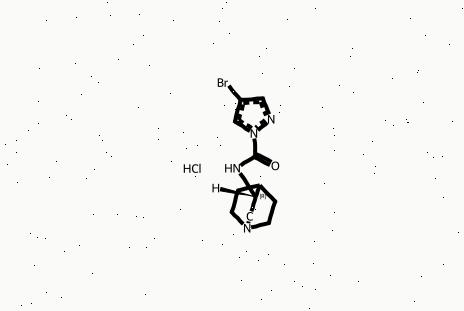 Cl.O=C(N[C@H]1CN2CCC1CC2)n1cc(Br)cn1